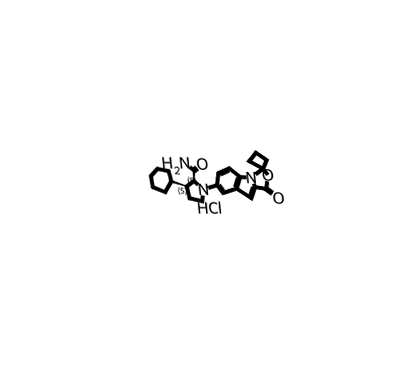 Cl.NC(=O)[C@@H]1[C@H](C2CCCCC2)CCN1c1ccc2c(c1)cc1n2C2(CCC2)OC1=O